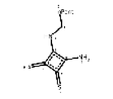 CCCCCCNc1c(N)c(=S)c1=S